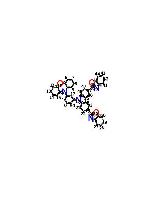 c1cc(N2c3ccccc3Oc3ccccc32)cc(-n2c3ccc(-c4nc5ccccc5o4)cc3c3cc(-c4nc5ccccc5o4)ccc32)c1